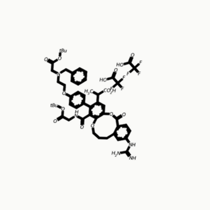 CC(C(=O)O)c1cc2c(c(C(=O)NCC(=O)OC(C)(C)C)c1-c1ccc(OCCN(CC(=O)OC(C)(C)C)Cc3ccccc3)cc1)OCCCc1cc(NC(=N)N)ccc1C(=O)O2.O=C(O)C(F)(F)F.O=C(O)C(F)(F)F